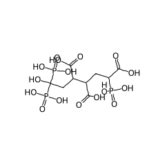 O=C(O)C(CC(C(=O)O)P(=O)(O)O)C(CC(O)(P(=O)(O)O)P(=O)(O)O)C(=O)O